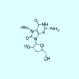 CCCCn1c(=O)n(C2OC(CO)CC2O)c2nc(N)[nH]c(=O)c21